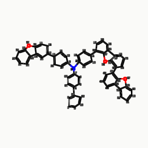 c1ccc(-c2ccc(N(c3ccc(-c4ccc5oc6ccccc6c5c4)cc3)c3ccc(-c4cccc5c4oc4c(-c6cccc7c6oc6ccccc67)cccc45)cc3)cc2)cc1